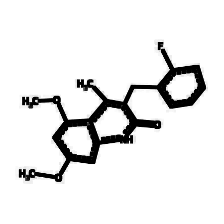 COc1cc(OC)c2c(C)c(Cc3ccccc3F)c(=O)[nH]c2c1